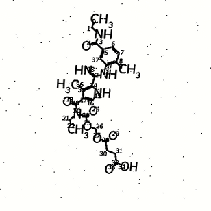 CCNC(=O)c1ccc(C)c(NC(=N)c2[nH]cc(C(=O)N(CC)C(=O)OCOC(=O)CCC(=O)O)c2C)c1